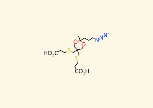 CC1(CCCN=[N+]=[N-])OCC(CSCCC(=O)O)(CSCCC(=O)O)CO1